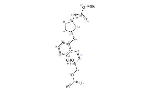 CC(C)C(=O)OCN(C)/C=C\c1c(C=O)cccc1SN1CCC(NC(=O)OC(C)(C)C)C1